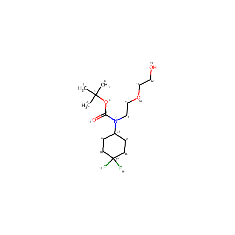 CC(C)(C)OC(=O)N(CCOCCO)C1CCC(F)(F)CC1